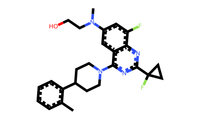 Cc1ccccc1C1CCN(c2nc(C3(F)CC3)nc3c(F)cc(N(C)CCO)cc23)CC1